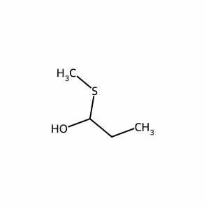 CCC(O)SC